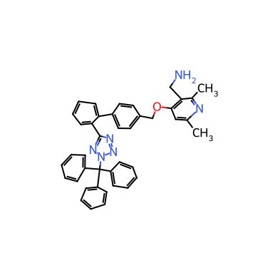 Cc1cc(OCc2ccc(-c3ccccc3-c3nnn(C(c4ccccc4)(c4ccccc4)c4ccccc4)n3)cc2)c(CN)c(C)n1